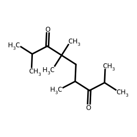 CC(C)C(=O)C(C)CC(C)(C)C(=O)C(C)C